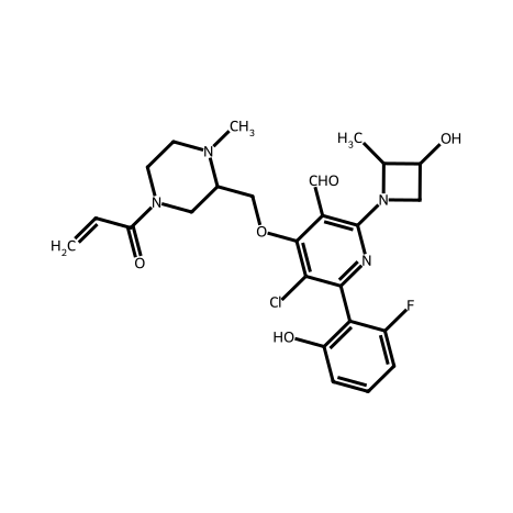 C=CC(=O)N1CCN(C)C(COc2c(Cl)c(-c3c(O)cccc3F)nc(N3CC(O)C3C)c2C=O)C1